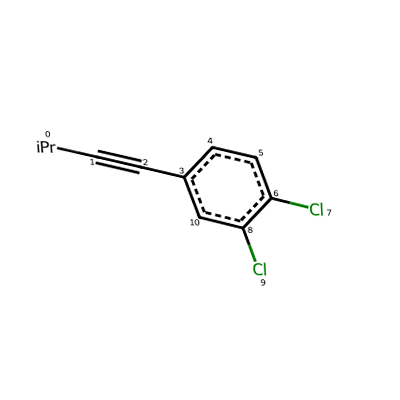 CC(C)C#Cc1ccc(Cl)c(Cl)c1